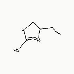 CCC1CSC(S)=N1